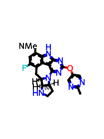 CNc1cc(F)c2c3c1[nH]c1nc(Oc4cnc(C)nc4)nc(c13)N1[C@H]3CCN[C@H]3[C@@H]1C2